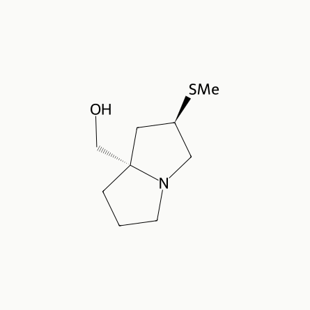 CS[C@H]1CN2CCC[C@@]2(CO)C1